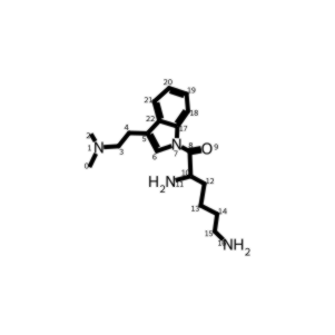 CN(C)CCc1cn(C(=O)C(N)CCCCN)c2ccccc12